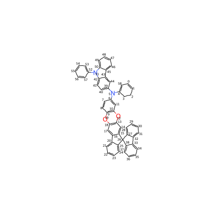 C1=CCCC(N(c2ccc3c(c2)Oc2cc4c(cc2O3)-c2ccccc2C42c3ccccc3-c3ccccc32)c2ccc3c(c2)c2ccccc2n3-c2ccccc2)=C1